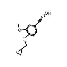 COc1cc(C#[N+]O)ccc1OCC1CO1